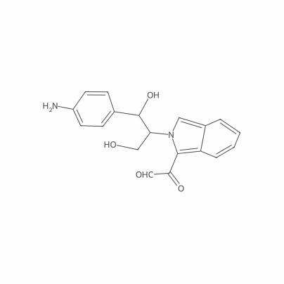 Nc1ccc(C(O)C(CO)n2cc3ccccc3c2C(=O)C=O)cc1